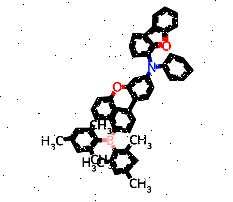 Cc1cc(C)c(B(c2c(C)cc(C)cc2C)c2ccc3c4c(cccc24)Oc2cc(N(c4ccccc4)c4cccc5c4oc4ccccc45)ccc2-3)c(C)c1